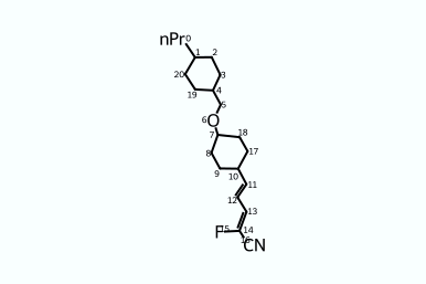 CCCC1CCC(COC2CCC(C=CC=C(F)C#N)CC2)CC1